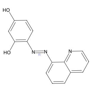 Oc1ccc(/N=N/c2cccc3cccnc23)c(O)c1